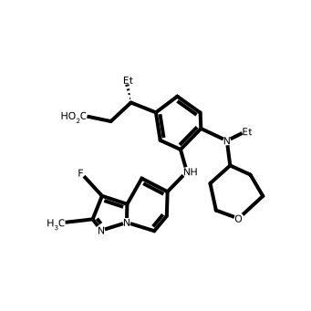 CC[C@@H](CC(=O)O)c1ccc(N(CC)C2CCOCC2)c(Nc2ccn3nc(C)c(F)c3c2)c1